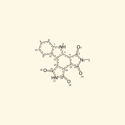 Cn1c(=O)c2c3[nH]c4ccccc4c3c3c(=O)[nH]c(=O)c3c2c1=O